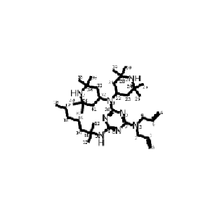 C=CCN(CC=C)c1nc(NC(C)(C)CCCCC)nc(N(C2CC(C)(C)NC(C)(C)C2)C2CC(C)(C)NC(C)(C)C2)n1